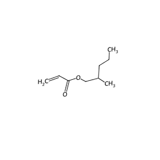 C=CC(=O)OCC(C)CCC